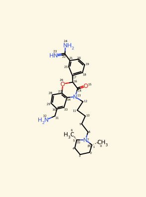 C[C@@H]1CCC[C@H](C)N1CCCCCN1C(=O)C(c2cccc(C(=N)N)c2)Oc2ccc(CN)cc21